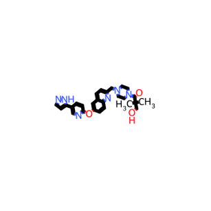 CC(C)(CO)C(=O)N1CCN(Cc2ccc3cc(Oc4ccc(-c5ccn[nH]5)cn4)ccc3n2)CC1